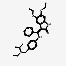 CCOc1cc2c(cc1OCC)/C(=C(/Nc1ccc(CN(CC)C(C)C)cc1)c1ccccc1)C(=O)N2